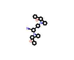 N#Cc1cc(-c2ccc(-n3c4ccccc4c4ccc5c6ccccc6oc5c43)cc2)cc(-n2c3ccccc3c3c4c(ccc32)oc2ccccc24)c1